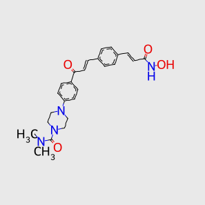 CN(C)C(=O)N1CCN(c2ccc(C(=O)C=Cc3ccc(C=CC(=O)NO)cc3)cc2)CC1